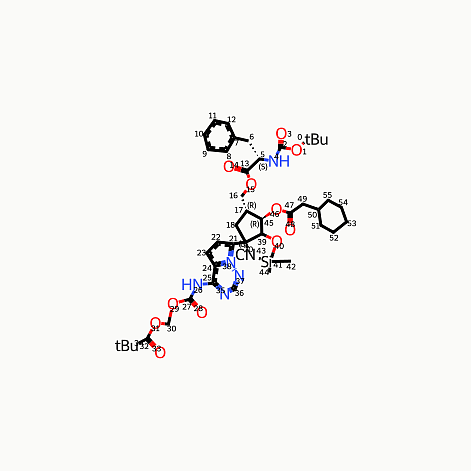 CC(C)(C)OC(=O)N[C@@H](Cc1ccccc1)C(=O)OC[C@H]1C[C@@](C#N)(c2ccc3c(NC(=O)OCOC(=O)C(C)(C)C)ncnn23)C(O[Si](C)(C)C)[C@@H]1OC(=O)CC1CCCCC1